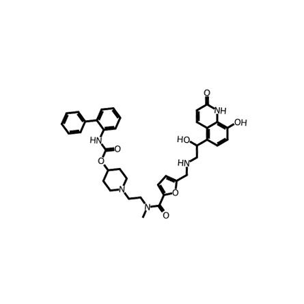 CN(CCN1CCC(OC(=O)Nc2ccccc2-c2ccccc2)CC1)C(=O)c1ccc(CNCC(O)c2ccc(O)c3[nH]c(=O)ccc23)o1